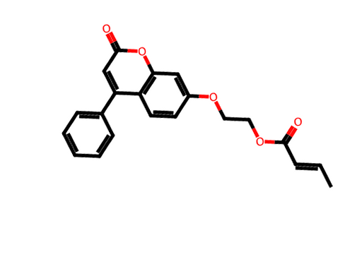 CC=CC(=O)OCCOc1ccc2c(-c3ccccc3)cc(=O)oc2c1